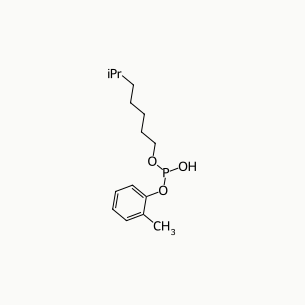 Cc1ccccc1OP(O)OCCCCCC(C)C